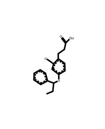 CCC(Oc1ccc(CCC(=O)O)c(Cl)c1)c1ccccc1